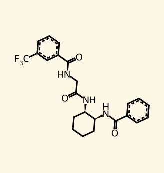 O=C(CNC(=O)c1cccc(C(F)(F)F)c1)N[C@@H]1CCCC[C@@H]1NC(=O)c1ccccc1